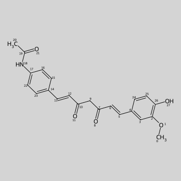 COc1cc(C=CC(=O)CC(=O)C=Cc2ccc(NC(C)=O)cc2)ccc1O